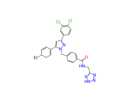 CCC1C=CC(c2cc(-c3ccc(Cl)c(Cl)c3)nn2Cc2ccc(C(=O)NCc3nn[nH]n3)cc2)=CC1